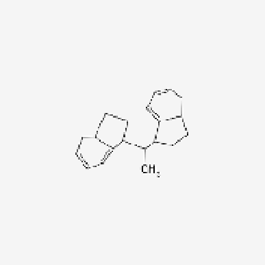 CC(C1CCC2CC=CC=C21)C1CCC2CC=CC=C21